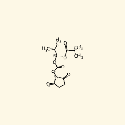 CC(C)C(=O)O[C@H](OC(=O)ON1C(=O)CCC1=O)C(C)C